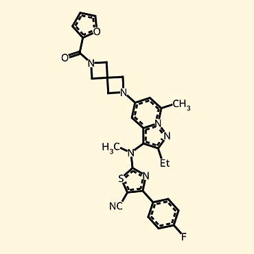 CCc1nn2c(C)cc(N3CC4(CN(C(=O)c5ccco5)C4)C3)cc2c1N(C)c1nc(-c2ccc(F)cc2)c(C#N)s1